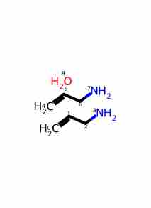 C=CCN.C=CCN.O